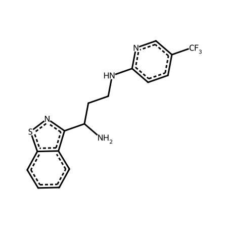 NC(CCNc1ccc(C(F)(F)F)cn1)c1nsc2ccccc12